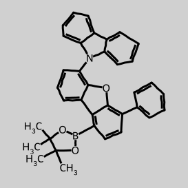 CC1(C)OB(c2ccc(-c3ccccc3)c3oc4c(-n5c6ccccc6c6ccccc65)cccc4c23)OC1(C)C